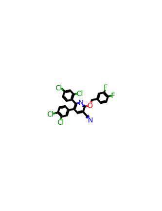 N#Cc1cc(-c2ccc(Cl)c(Cl)c2)c(-c2ccc(Cl)cc2Cl)nc1OCc1ccc(F)c(F)c1